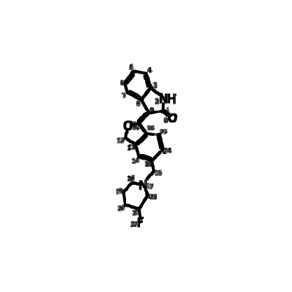 O=C1Nc2ccccc2C1=C1OCc2cc(CN3CCCC(F)C3)ccc21